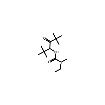 CCN(C)C(=O)NC(C(=O)C(C)(C)C)C(C)(C)C